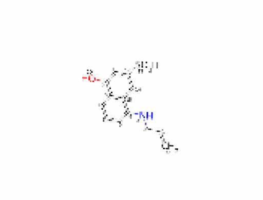 C=CCNc1cccc2c(O)cc(S(=O)(=O)O)cc12